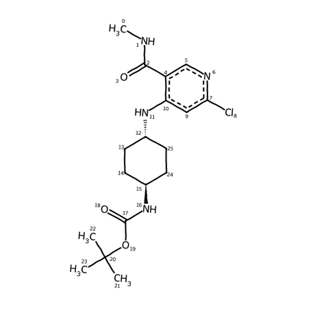 CNC(=O)c1cnc(Cl)cc1N[C@H]1CC[C@H](NC(=O)OC(C)(C)C)CC1